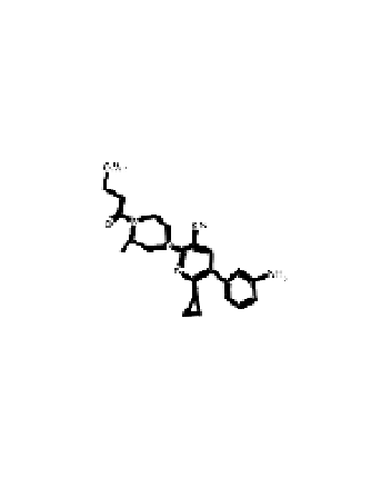 COCCC(=O)N1CCN(c2nc(C3CC3)c(-c3cccc(N)c3)cc2C#N)CC1C